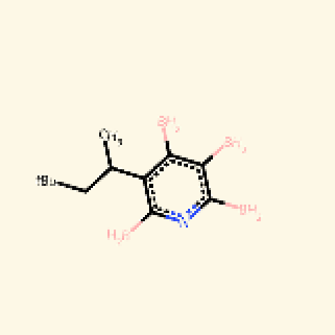 Bc1nc(B)c(C(C)CC(C)(C)C)c(B)c1B